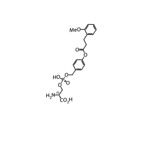 COc1ccccc1CCC(=O)Oc1ccc(COP(=O)(O)OC[C@H](N)C(=O)O)cc1